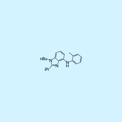 CCCCn1c(C(C)C)nc2c(Nc3ccccc3C)cccc21